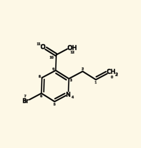 C=CCc1ncc(Br)cc1C(=O)O